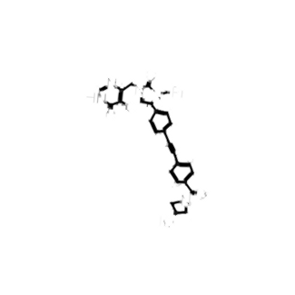 CC(C)N1C(=O)N(Cc2nc[nH]c(=O)c2O)CC1c1ccc(C#Cc2ccc(C(=O)N3CC(O)C3)cc2)cc1